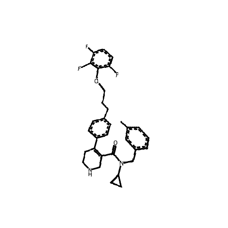 Cc1cccc(CN(C(=O)C2=C(c3ccc(CCCOc4c(F)ccc(F)c4F)cc3)CCNC2)C2CC2)c1